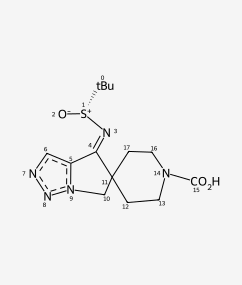 CC(C)(C)[S@@+]([O-])/N=C1\c2cnnn2CC12CCN(C(=O)O)CC2